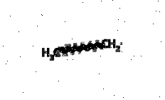 [CH2]CCCC=CCCCCCC=CC